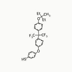 CCC(C)(CC)Oc1ccc(C(c2ccc(Oc3ccc(S)cc3)cc2)(C(F)(F)F)C(F)(F)F)cc1